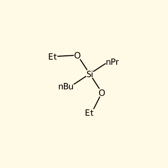 [CH2]CC[Si](CCCC)(OCC)OCC